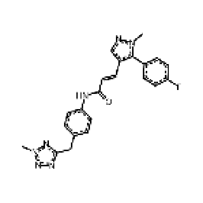 Cn1nnc(Cc2ccc(NC(=O)/C=C/c3cnn(C)c3-c3ccc(F)cc3)cc2)n1